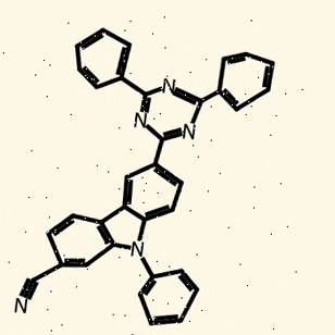 N#Cc1ccc2c3cc(-c4nc(-c5ccccc5)nc(-c5ccccc5)n4)ccc3n(-c3ccccc3)c2c1